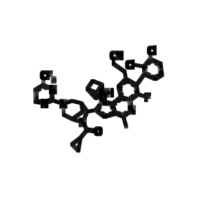 Cc1nc2c(F)c(-c3cccc(Cl)c3Cl)c(CCC#N)cc2c2c1cc(C1C3CC(CN(c4nccc(C(F)(F)F)n4)C3)N1C(=O)C1CC1)n2C1C2CNC1C2